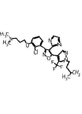 CC(C)CCn1ncc(-c2onc(-c3cccc(OCCCN(C)C)c3Cl)c2-c2ncccn2)c1C(F)(F)F